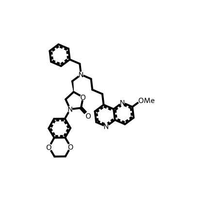 COc1ccc2nccc(CCCN(Cc3ccccc3)C[C@@H]3CN(c4ccc5c(c4)OCCO5)C(=O)O3)c2n1